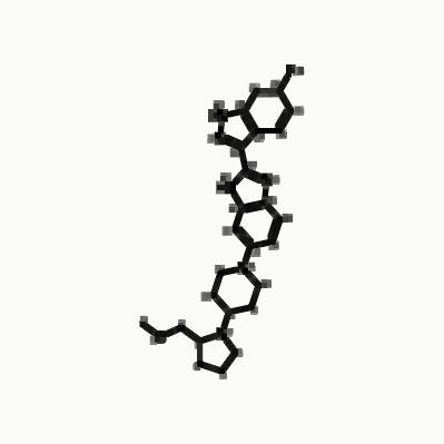 COCC1CCCN1C1CCN(c2ccc3nc(-c4n[nH]c5cc(F)ccc45)[nH]c3c2)CC1